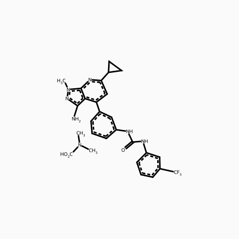 CN(C)C(=O)O.Cn1nc(N)c2c(-c3cccc(NC(=O)Nc4cccc(C(F)(F)F)c4)c3)cc(C3CC3)nc21